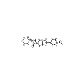 COc1ccc(N2CC3CN(C(=O)NC4CCCCC4)CC3C2)cc1